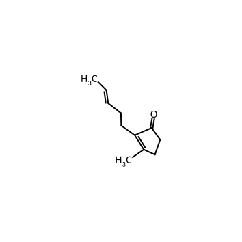 CC=CCCC1=C(C)CCC1=O